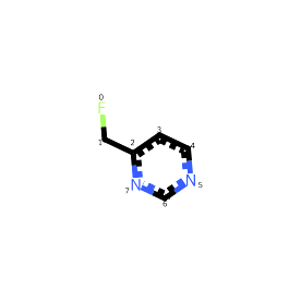 FCc1ccn[c]n1